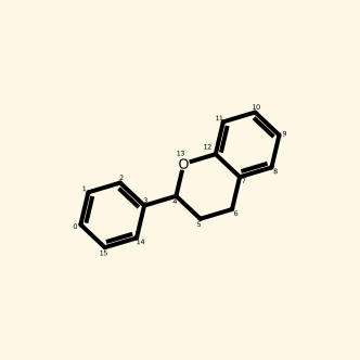 c1ccc(C2CCc3ccccc3O2)cc1